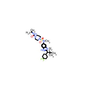 CC(C)NC(=O)N1CCN(S(=O)(=O)N(C)c2ccc3[nH]c(C(C4CCC(F)(F)CC4)C(C)(C)C)nc3c2)CC1